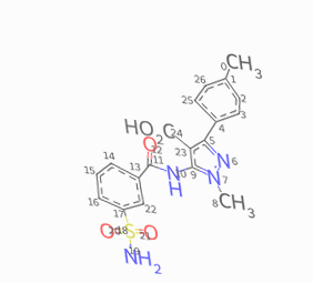 Cc1ccc(-c2nn(C)c(NC(=O)c3cccc(S(N)(=O)=O)c3)c2C(=O)O)cc1